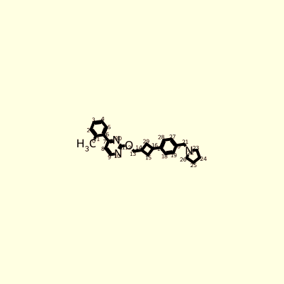 Cc1ccccc1-c1ccnc(OCC2CC(c3ccc(CN4CCCC4)cc3)C2)n1